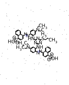 CCCSc1nc(Nc2cc(N(CC)CC)ccc2/N=N/c2ccc(S(=O)(=O)O)c3ccccc23)nc(Nc2cc(N(CC)CC)ccc2/N=N/c2ccc(S(=O)(=O)O)c3ccccc23)n1